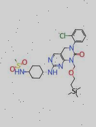 C[Si](C)(C)CCOCN1C(=O)N(c2ccccc2Cl)Cc2cnc(N[C@H]3CC[C@H](NS(C)(=O)=O)CC3)nc21